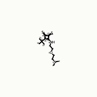 CN(C)CCOCCNc1c(C(C)(C)C)c(=S)c1=S